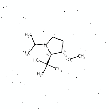 CO[C@H]1CCN(C(C)C)[C@@H]1C(C)(C)C